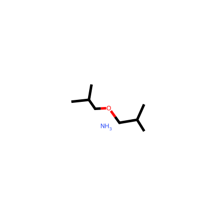 CC(C)COCC(C)C.N